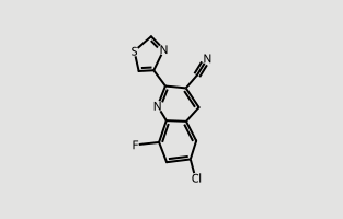 N#Cc1cc2cc(Cl)cc(F)c2nc1-c1cscn1